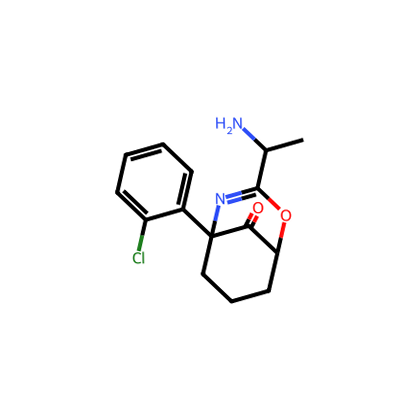 CC(N)C1=NC2(c3ccccc3Cl)CCCC(O1)C2=O